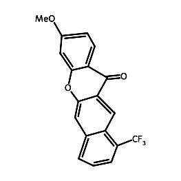 COc1ccc2c(=O)c3cc4c(C(F)(F)F)cccc4cc3oc2c1